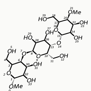 CO[C@@H]1OC(CO)[C@@H](O[C@@H]2O[C@@H](CO)[C@@H](O[C@@H]3OC(CO)[C@@H](OC)[C@@H](O)C3O)C(O)C2O)[C@@H](O)C1O